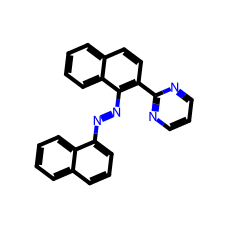 c1cnc(-c2ccc3ccccc3c2N=Nc2cccc3ccccc23)nc1